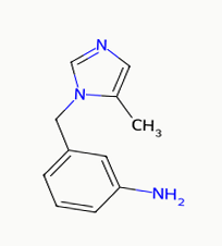 Cc1cncn1Cc1cccc(N)c1